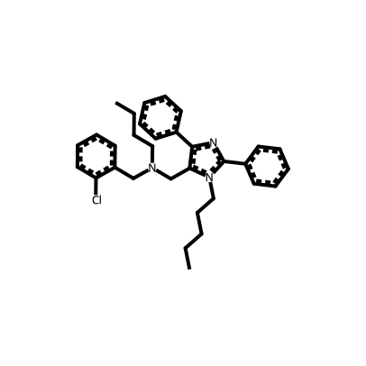 CCCCCn1c(-c2ccccc2)nc(-c2ccccc2)c1CN(CCCC)Cc1ccccc1Cl